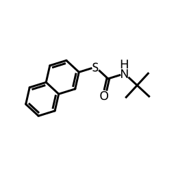 CC(C)(C)NC(=O)Sc1ccc2ccccc2c1